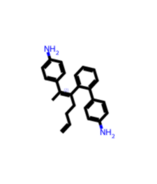 C=CCC/C(=C(\C)c1ccc(N)cc1)c1ccccc1-c1ccc(N)cc1